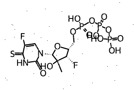 CC1(O)[C@@H](F)[C@@H](COP(=O)(O)OP(=O)(O)OP(=O)(O)O)O[C@H]1n1cc(F)c(=S)[nH]c1=O